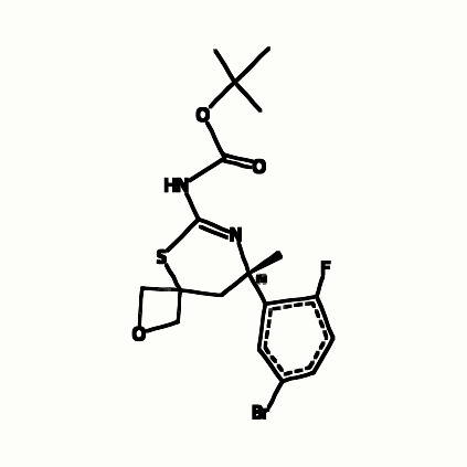 CC(C)(C)OC(=O)NC1=N[C@](C)(c2cc(Br)ccc2F)CC2(COC2)S1